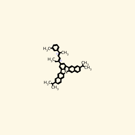 CC/C(=C\C=C(/C)c1cccc(C)c1)c1cc2c3cc4cc(C(C)C)ccc4cc3n3c4cc5ccc(C(C)C)cc5cc4c(c1)c23